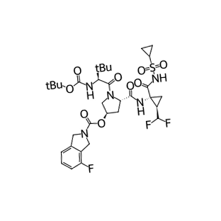 CC(C)(C)OC(=O)N[C@H](C(=O)N1C[C@H](OC(=O)N2Cc3cccc(F)c3C2)C[C@H]1C(=O)N[C@]1(C(=O)NS(=O)(=O)C2CC2)C[C@H]1C(F)F)C(C)(C)C